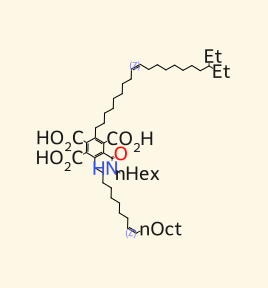 CCCCCCCC/C=C\CCCCCCCCc1c(C(=O)O)c(C(=O)O)c(CCCCCCCC/C=C\CCCCCCCC(CC)CC)c(C(=O)O)c1C(=O)NCCCCCC